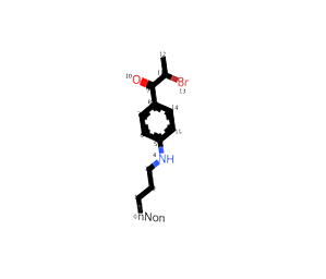 CCCCCCCCCCCCNc1ccc(C(=O)C(C)Br)cc1